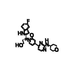 O=c1cc(-c2ccnc(NC3CCOCC3)n2)ccn1[C@H](CCO)c1cc2cc(F)ccc2[nH]1